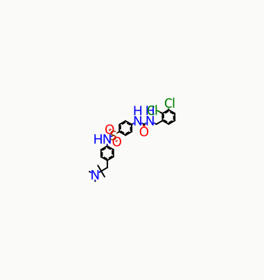 CN(C)C(C)(C)Cc1ccc(NS(=O)(=O)c2ccc(NC(=O)NCc3cccc(Cl)c3Cl)cc2)cc1